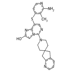 Cc1c(Sc2cnc(N3CCC4(CC3)Cc3cccnc3C4)n3cc(O)nc23)ccnc1N